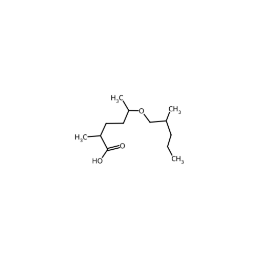 CCCC(C)COC(C)CCC(C)C(=O)O